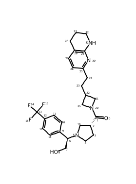 O=C([C@@H]1CCN([C@@H](CO)c2ccc(C(F)(F)F)cc2)C1)N1CC(CCc2ccc3c(n2)NCCC3)C1